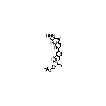 CC(C)(C)OC1CN(C(=O)NCc2ccc(-c3ccnc(Nc4c[nH]nc4C4CC4)n3)cc2C(F)(F)F)C1